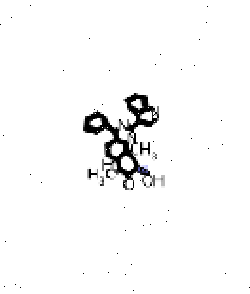 C[C@H]1C(=O)/C(=C\O)C[C@@]2(C)c3nc(-c4ccnc5ccccc45)nc(-c4ccccc4)c3CC[C@H]12